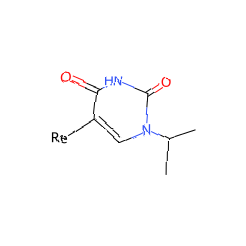 CC(C)n1c[c]([Re])c(=O)[nH]c1=O